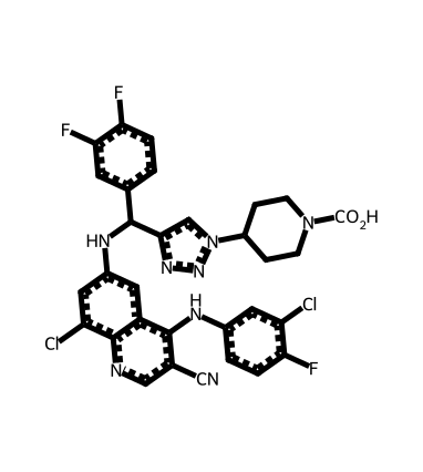 N#Cc1cnc2c(Cl)cc(NC(c3ccc(F)c(F)c3)c3cn(C4CCN(C(=O)O)CC4)nn3)cc2c1Nc1ccc(F)c(Cl)c1